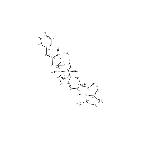 CC(C)[Si](O[C@@H]1C=C2CC[C@@H]3[C@H](CC[C@]4(C)C(=O)C(=Cc5ccccc5)C[C@@H]34)[C@@]2(C)CC1)(C(C)C)C(C)C